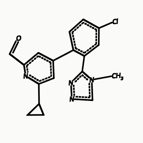 Cn1cnnc1-c1cc(Cl)ccc1-c1cc(C=O)nc(C2CC2)c1